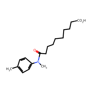 Cc1ccc(N(C)C(=O)CCCCCCCCC(=O)O)cc1